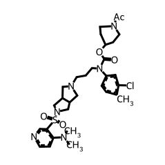 CC(=O)N1CCC(OC(=O)N(CCCN2CC3CN(S(=O)(=O)c4cnccc4N(C)C)CC3C2)c2ccc(C)c(Cl)c2)CC1